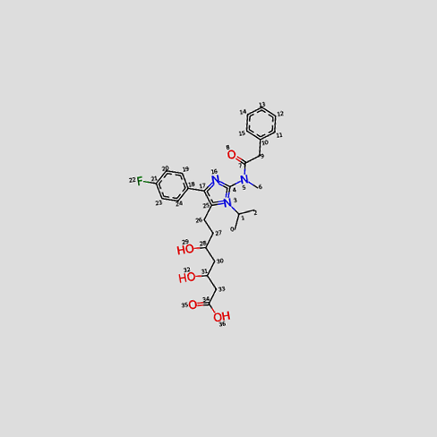 CC(C)n1c(N(C)C(=O)Cc2ccccc2)nc(-c2ccc(F)cc2)c1CCC(O)CC(O)CC(=O)O